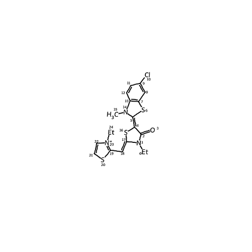 CCn1c(=O)/c(=C2\Sc3cc(Cl)ccc3N2C)s/c1=C\c1scc[n+]1CC